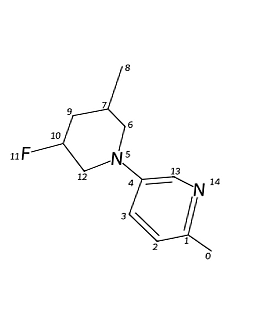 Cc1ccc(N2CC(C)CC(F)C2)cn1